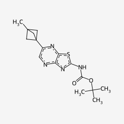 CC12CC(c3cnc4nc(NC(=O)OC(C)(C)C)sc4n3)(C1)C2